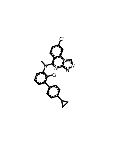 CN(c1cccc(-c2ccc(C3CC3)cc2)c1Cl)c1nc2nncn2c2cc(Cl)ccc12